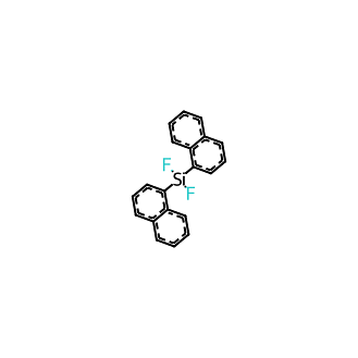 F[Si](F)(c1cccc2ccccc12)c1cccc2ccccc12